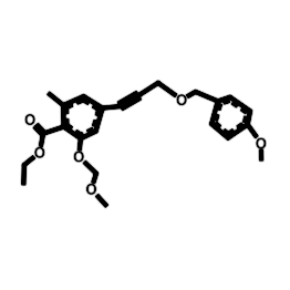 CCOC(=O)c1c(C)cc(C#CCOCc2ccc(OC)cc2)cc1OCOC